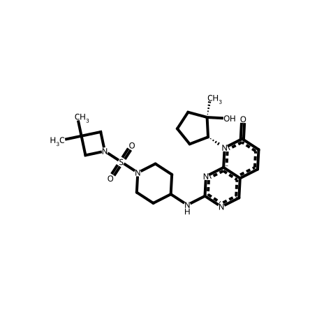 CC1(C)CN(S(=O)(=O)N2CCC(Nc3ncc4ccc(=O)n([C@@H]5CCC[C@@]5(C)O)c4n3)CC2)C1